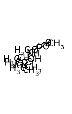 COC(=O)Cc1ccc(OCC(C)NCC(O)c2cc(C(C)(C)C)c(O)c(C(C)(C)C)c2)cc1